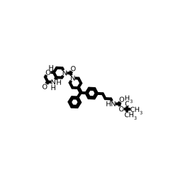 CC(C)(C)OC(=O)NCCCc1ccc(C(=C2CCN(C(=O)N3CC[C@@H]4OCC(=O)N[C@@H]4C3)CC2)c2ccccc2)cc1